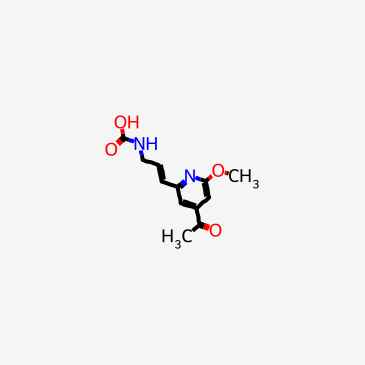 COc1cc(C(C)=O)cc(C=CCNC(=O)O)n1